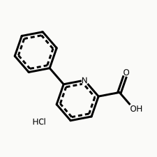 Cl.O=C(O)c1cccc(-c2ccccc2)n1